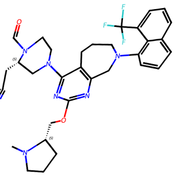 CN1CCC[C@H]1COc1nc2c(c(N3CCN(C=O)[C@@H](CC#N)C3)n1)CCCN(c1cccc3cccc(C(F)(F)F)c13)C2